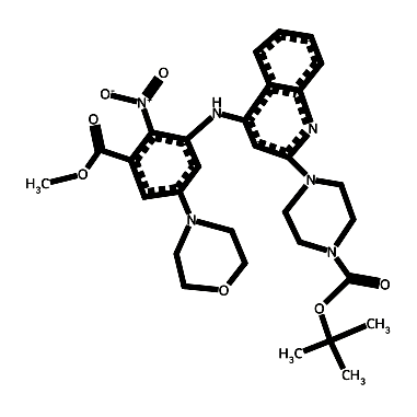 COC(=O)c1cc(N2CCOCC2)cc(Nc2cc(N3CCN(C(=O)OC(C)(C)C)CC3)nc3ccccc23)c1[N+](=O)[O-]